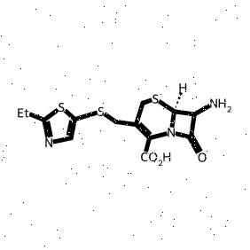 CCc1ncc(SCC2=C(C(=O)O)N3C(=O)C(N)[C@@H]3SC2)s1